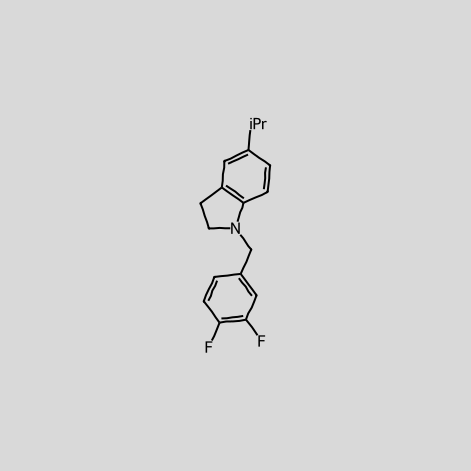 CC(C)c1ccc2c(c1)CCN2Cc1ccc(F)c(F)c1